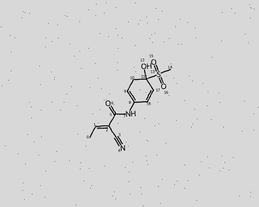 CC=C(C#N)C(=O)NC1=CCC(O)(S(C)(=O)=O)C=C1